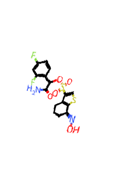 NC(=O)C(OS(=O)(=O)c1csc2c1CCCC2=NO)c1ccc(F)cc1F